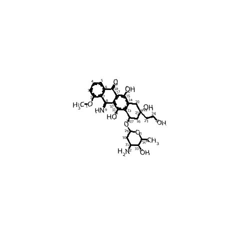 COc1cccc2c1C(=N)c1c(O)c3c(c(O)c1C2=O)C[C@@](O)(CCO)CC3OC1CC(N)C(O)C(C)O1